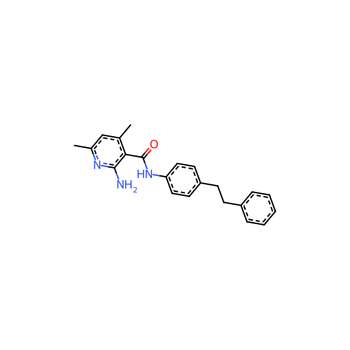 Cc1cc(C)c(C(=O)Nc2ccc(CCc3ccccc3)cc2)c(N)n1